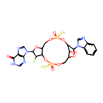 O=c1[nH]cnc2c1ncn2C1OC2COP(=O)(S)OC3C(O)C(COP(=O)(S)OC2C1F)OC3n1cnc2ccccc21